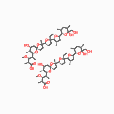 CC[C@@]1([C@@H]2O[C@@H]([C@H]3O[C@@](O)(CO)[C@H](C)C[C@@H]3C)C[C@@H]2C)CC[C@H]([C@]2(C)CC[C@]3(C[C@H](O)[C@@H](C)[C@@H]([C@@H](C)[C@@H](OC)[C@H](C)C(=O)O)O3)O2)O1.CC[C@@]1([C@@H]2O[C@@H]([C@H]3O[C@@](O)(CO)[C@H](C)C[C@@H]3C)C[C@@H]2C)CC[C@H]([C@]2(C)CC[C@]3(C[C@H](O)[C@@H](C)[C@@H]([C@@H](C)[C@@H](OC)[C@H](C)C(=O)O)O3)O2)O1